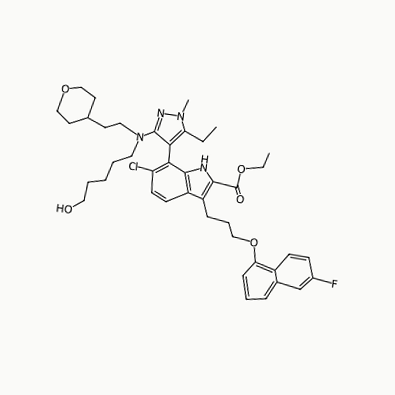 CCOC(=O)c1[nH]c2c(-c3c(N(CCCCCO)CCC4CCOCC4)nn(C)c3CC)c(Cl)ccc2c1CCCOc1cccc2cc(F)ccc12